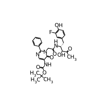 CC(=O)[C@@H](O)[C@@H](Cc1ccc(O)c(F)c1)NC(=O)Cn1c(-c2ccccc2)ncc(NC(=O)OC(C)(C)C)c1=O